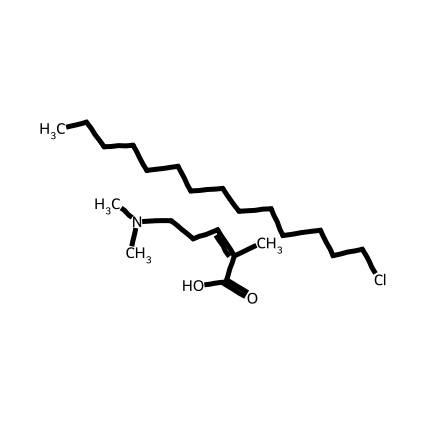 CC(=CCCN(C)C)C(=O)O.CCCCCCCCCCCCCCCl